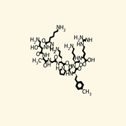 Cc1ccc(CC[C@H](NC(=O)[C@@H]2CCCN2C(=O)[C@@H](CCCN)NC(=O)CNC(=O)[C@H](C)NC(=O)[C@@H](NC(=O)[C@@H](N)CCCCN)[C@@H](O)CN)C(=O)N[C@@H](CCCCN)C(=O)N/C(=C\CCNC(=N)N)C(=O)O)cc1